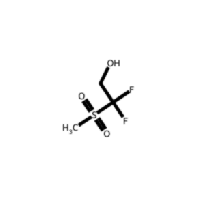 CS(=O)(=O)C(F)(F)CO